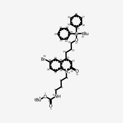 CC(C)(C)OC(=O)NCCCCn1c(=O)cc(CCCO[Si](c2ccccc2)(c2ccccc2)C(C)(C)C)c2cc(Br)ccc21